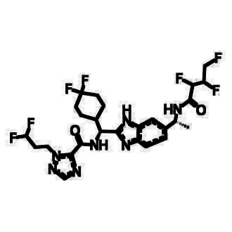 C[C@@H](NC(=O)C(F)C(F)CF)c1ccc2nc([C@@H](NC(=O)c3ncnn3CCC(F)F)C3CCC(F)(F)CC3)[nH]c2c1